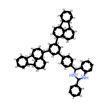 c1ccc(C2Nc3ccccc3C(c3ccc(-c4cc(-c5ccc6c7c(cccc57)-c5ccccc5-6)cc(-c5ccc6c7c(cccc57)-c5ccccc5-6)c4)cc3)N2)cc1